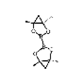 C[C@@]12C[C@@]1(C)OB(B1O[C@@]3(C)C[C@]3(C)O1)O2